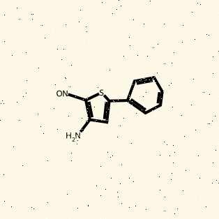 Nc1cc(-c2ccccc2)sc1N=O